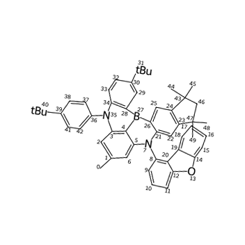 Cc1cc2c3c(c1)N(c1cccc4oc5ccccc5c14)c1cc4c(cc1B3c1cc(C(C)(C)C)ccc1N2c1ccc(C(C)(C)C)cc1)C(C)(C)CC4(C)C